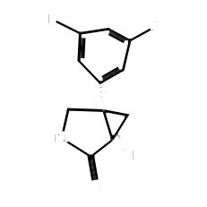 O=C1NC[C@@]2(c3cc(F)cc(F)c3)C[C@@H]12